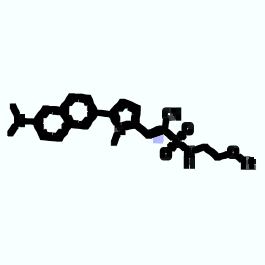 CCOCCNS(=O)(=O)/C(C#N)=C/c1ccc(-c2ccc3cc(N(C)C)ccc3c2)n1C